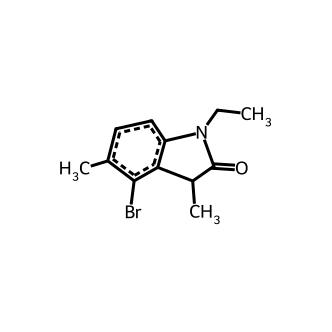 CCN1C(=O)C(C)c2c1ccc(C)c2Br